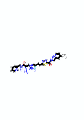 N/C(=C\N(N)CC(F)CCc1nnc(C(=O)NCc2cc(C(F)(F)F)ccn2)s1)C(=O)NCc1ccccn1